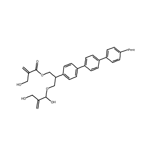 C=C(CO)C(=O)OCC(COC(O)C(=C)CO)c1ccc(-c2ccc(-c3ccc(CCCCC)cc3)cc2)cc1